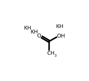 CC(=O)O.[KH].[KH].[KH]